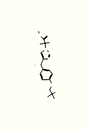 COC(=O)C(C)(C)n1cc([C@@H](N)c2ccc(OCC(F)(F)F)cc2)nn1.Cl